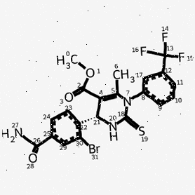 COC(=O)C1=C(C)N(c2cccc(C(F)(F)F)c2)C(=S)N[C@@H]1c1ccc(C(N)=O)cc1Br